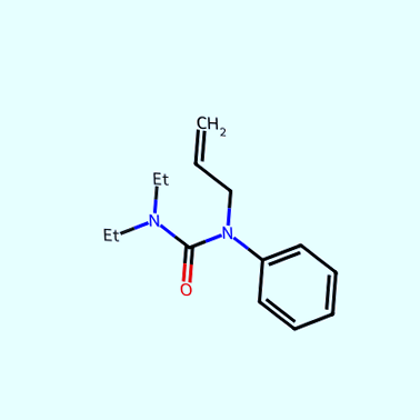 C=CCN(C(=O)N(CC)CC)c1ccccc1